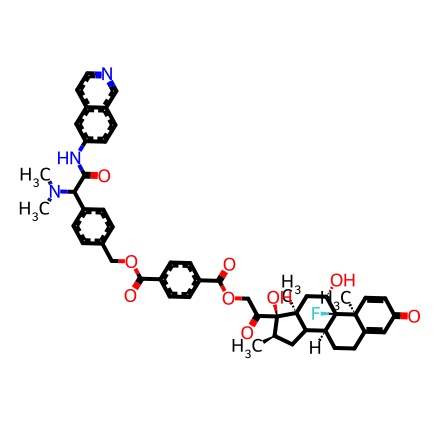 C[C@@H]1CC2[C@@H]3CCC4=CC(=O)C=C[C@]4(C)[C@@]3(F)[C@@H](O)C[C@]2(C)[C@@]1(O)C(=O)COC(=O)c1ccc(C(=O)OCc2ccc(C(C(=O)Nc3ccc4cnccc4c3)N(C)C)cc2)cc1